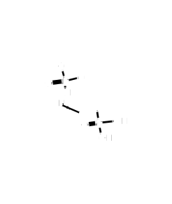 C.CC.O=P(O)(O)O.O=P(O)(O)O